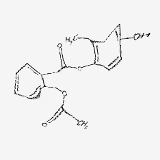 CC(=O)Oc1ccccc1C(=O)Oc1ccc(O)cc1C